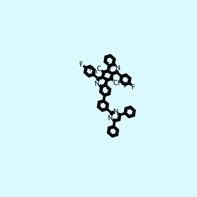 Cc1c2c(-c3ccc(F)cc3)nc3cc(-c4cccc(-c5nc(-c6ccccc6)cc(-c6ccccc6)n5)c4)ccc3c2c(C)c2c(-c3ccc(F)cc3)nc3ccccc3c12